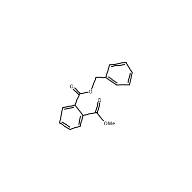 COC(=O)c1ccccc1C(=O)OCc1ccccc1